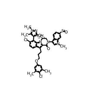 Cc1cc(OCCCc2c3n(c4c(-c5c(C)nn(C)c5C)c(Cl)ccc24)[C@H](C)CN(c2cn(C)c4cc([S+]=O)ccc24)C3=O)cc(C)c1Cl